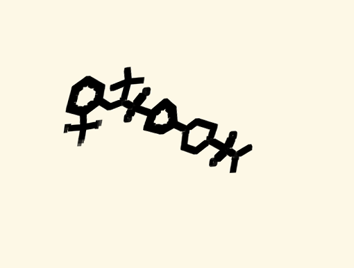 CN(C)S(=O)(=O)N1CCN(c2ccc(S(=O)(=O)N(Cc3ccccc3C(F)(F)F)C(C)(C)C)cc2)CC1